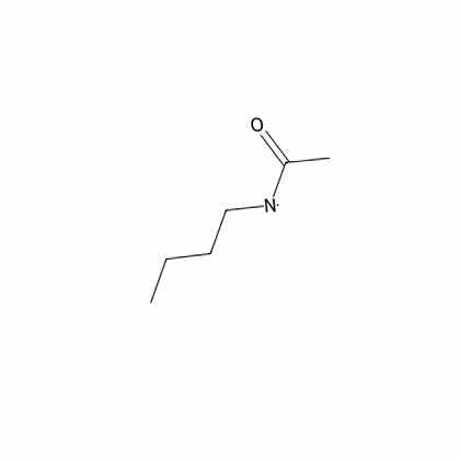 CCCC[N]C(C)=O